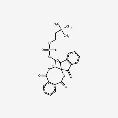 C[N+](C)(C)CCOP(=O)([O-])OC[C@@H]1OC(=O)c2ccccc2C(=O)OC12C(=O)c1ccccc1C2=O